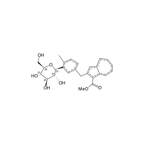 COC(=O)c1c(Cc2ccc(C)c([C@@H]3O[C@H](CO)[C@@H](O)[C@H](O)[C@H]3O)c2)cc2cccccc1-2